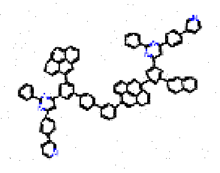 c1ccc(-c2nc(-c3ccc(-c4cccnc4)cc3)cc(-c3cc(-c4ccc(-c5cccc(-c6cc7cccc8c(-c9cc(-c%10ccc%11ccccc%11c%10)cc(-c%10cc(-c%11ccc(-c%12cccnc%12)cc%11)nc(-c%11ccccc%11)n%10)c9)cc9cccc6c9c78)c5)cc4)cc(-c4cc5cccc6ccc7cccc4c7c65)c3)n2)cc1